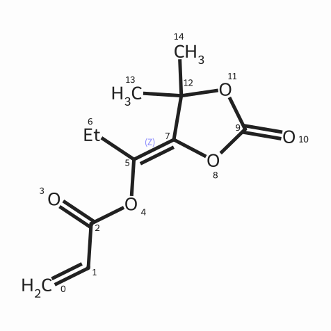 C=CC(=O)O/C(CC)=C1\OC(=O)OC1(C)C